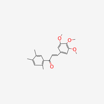 COc1cc(C=CC(=O)c2cc(C)c(C)cc2C)cc(OC)c1OC